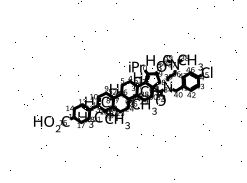 CC(C)C1=C2[C@H]3CC[C@@H]4[C@@]5(C)CC=C(C6=CCC(C(=O)O)CC6)C(C)(C)[C@@H]5CC[C@@]4(C)[C@]3(C)CC[C@@]2(C(=O)N(CCN(C)C)Cc2ccc(Cl)cc2)CC1=O